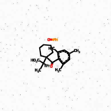 CCCC(C)(C(=O)O)C1(C(=O)c2c(C)cc(C)cc2C)CCCCC1.O=P